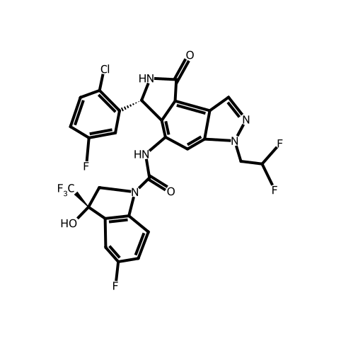 O=C1N[C@@H](c2cc(F)ccc2Cl)c2c(NC(=O)N3C[C@](O)(C(F)(F)F)c4cc(F)ccc43)cc3c(cnn3CC(F)F)c21